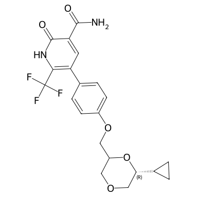 NC(=O)c1cc(-c2ccc(OCC3COC[C@@H](C4CC4)O3)cc2)c(C(F)(F)F)[nH]c1=O